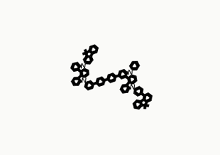 CC1(C)c2ccccc2-c2ccc(-n3c4ccccc4c4c5c6ccccc6n(-c6cccc(-c7ccc(-c8ccc(-c9ccc%10c(c9)c9c%11c%12ccccc%12n(-c%12ccc(-c%13cccc%14c%13-c%13ccccc%13C%14(C)C)cc%12)c%11ccc9n%10-c9ccccc9)cc8)cc7)c6)c5ccc43)cc21